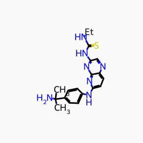 CCNC(=S)Nc1cnc2ccc(Nc3ccc(C(C)(C)N)cc3)nc2n1